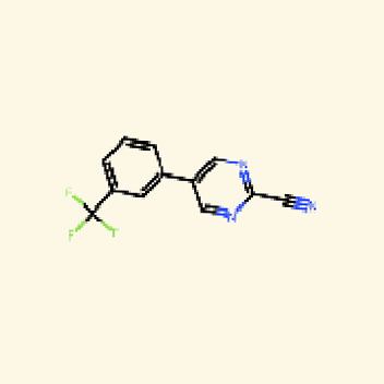 N#Cc1ncc(-c2cccc(C(F)(F)F)c2)cn1